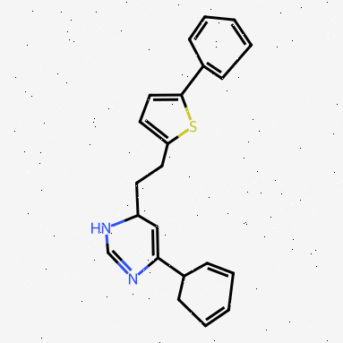 C1=CCC(C2=CC(CCc3ccc(-c4ccccc4)s3)NC=N2)C=C1